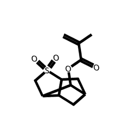 C=C(C)C(=O)OC1C2CC3C1CS(=O)(=O)C3C2